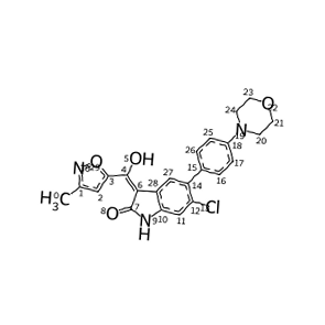 Cc1cc(/C(O)=C2\C(=O)Nc3cc(Cl)c(-c4ccc(N5CCOCC5)cc4)cc32)on1